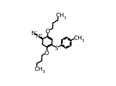 CCCCOC1=CC(Sc2ccc(C)cc2)=C(OCCCC)CC1=[N+]=[N-]